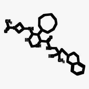 CC(=O)N1CC(NC2NCNC(C(=O)NCC(C)(O)CN3CCc4ccccc4C3)C2C2CCCCCCCC2)C1